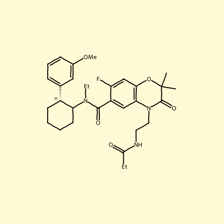 CCC(=O)NCCN1C(=O)C(C)(C)Oc2cc(F)c(C(=O)N(CC)C3CCCC[C@@H]3c3cccc(OC)c3)cc21